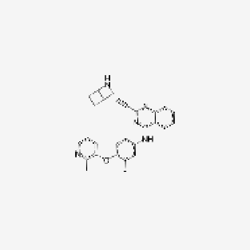 C#Cc1nc(Nc2ccc(Oc3cccnc3C)c(F)c2)c2ccccc2n1.C1CC2NCC12